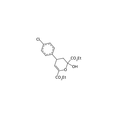 CCOC(=O)C1=CC(c2ccc(Cl)cc2)CC(O)(C(=O)OCC)O1